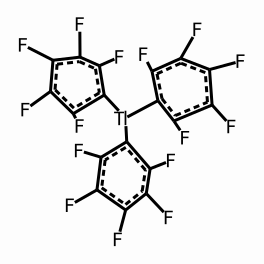 Fc1c(F)c(F)[c]([Tl]([c]2c(F)c(F)c(F)c(F)c2F)[c]2c(F)c(F)c(F)c(F)c2F)c(F)c1F